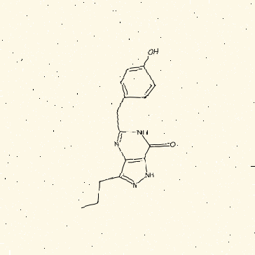 CCCc1n[nH]c2c(=O)[nH]c(Cc3ccc(O)cc3)nc12